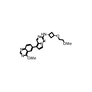 COCCO[C@H]1C[C@H](Nc2ncc3c(-c4ccc5ncnc(OC)c5c4)ccn3n2)C1